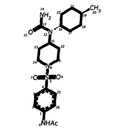 CC(=O)Nc1ccc(S(=O)(=O)N2CCC(N(C(N)=O)[C@H]3CC[C@H](C)CC3)CC2)cc1